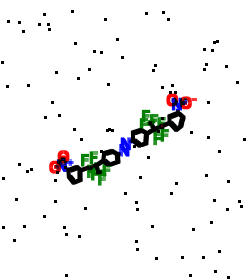 O=[N+]([O-])c1cccc(C(F)(F)C(F)(c2ccc(/N=N/c3ccc(C(F)(C(F)(F)F)C(F)(F)c4cccc([N+](=O)[O-])c4)cc3)cc2)C(F)(F)F)c1